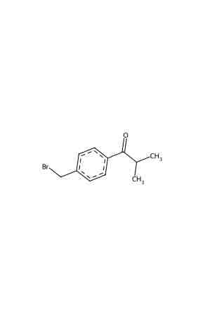 CC(C)C(=O)c1ccc(CBr)cc1